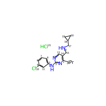 CC(C)c1nc(Nc2cccc(Cl)c2)ncc1CNCC1CC1.Cl